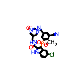 COP(=O)(c1cc(C#N)cc(C#N)c1)c1c(C(=O)NCc2cnc[n+]([O-])c2)[nH]c2ccc(Cl)cc12